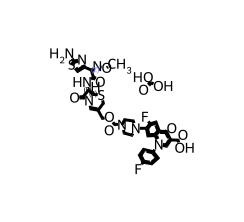 CO/N=C(\C(=O)N[C@@H]1C(=O)N2C=C(COC(=O)N3CCN(c4cc5c(cc4F)c(=O)c(C(=O)O)cn5-c4ccc(F)cc4)CC3)CS[C@H]12)c1csc(N)n1.O=C(O)O